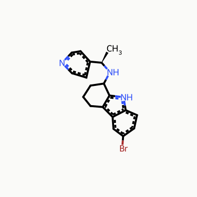 C[C@@H](NC1CCCc2c1[nH]c1ccc(Br)cc21)c1ccncc1